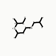 [CH2]C(CCSCC(C)C)SC(C)CC